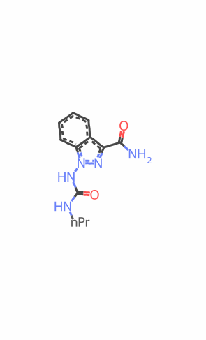 CCCNC(=O)Nn1nc(C(N)=O)c2ccccc21